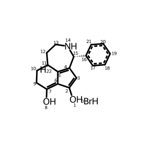 Br.OC1=CC2=C3C1=C(O)CC[C@@H]3CCN[C@@H]2c1ccccc1